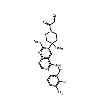 COc1nc2ncnc(N[C@H](C)c3cccc(C(F)(F)F)c3F)c2cc1C1(OC)CCN(C(=O)CO)CC1